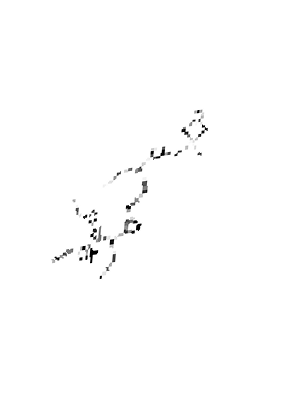 CCO[SiH](OCC)C(CC)OCCC(CC)OCC1(C)COC1